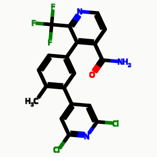 Cc1ccc(-c2c(C(N)=O)ccnc2C(F)(F)F)cc1-c1cc(Cl)nc(Cl)c1